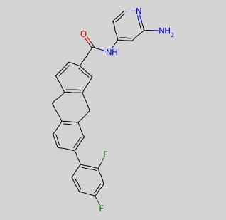 Nc1cc(NC(=O)c2ccc3c(c2)Cc2cc(-c4ccc(F)cc4F)ccc2C3)ccn1